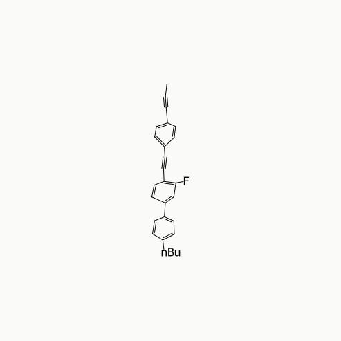 CC#Cc1ccc(C#Cc2ccc(-c3ccc(CCCC)cc3)cc2F)cc1